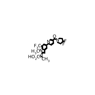 CN(C(=O)O)c1cc2cc(-c3ccc(C(=O)N4CCC(F)(F)CC4)cn3)cc(C(F)(F)F)c2n1C